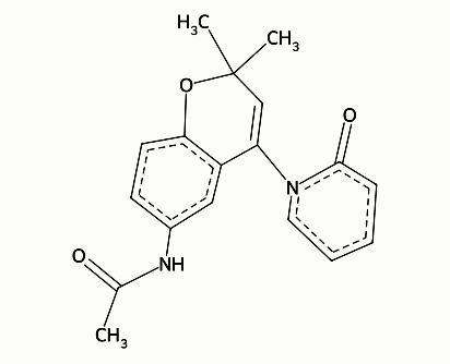 CC(=O)Nc1ccc2c(c1)C(n1ccccc1=O)=CC(C)(C)O2